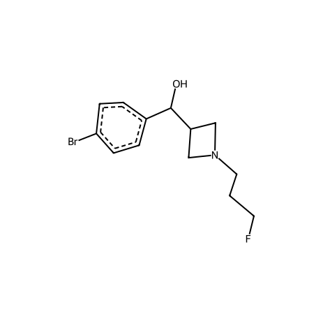 OC(c1ccc(Br)cc1)C1CN(CCCF)C1